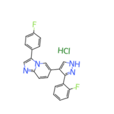 Cl.Fc1ccc(-c2cnc3ccc(-c4c[nH]nc4-c4ccccc4F)cn23)cc1